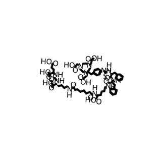 O=C(O)CCC(NC(=O)N[C@@H](CCCCNC(=O)CCCCCCC(=O)NC(CCCCNC(=O)C(Cc1ccccc1)NC(=O)C(Cc1ccccc1)NC(=S)Nc1ccc(CC2CN(CC(=O)O)CCN(CC(=O)O)CCN2CC(=O)O)cc1)C(=O)O)C(=O)O)C(=O)O